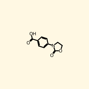 O=C(O)c1ccc(N2CCOC2=O)cc1